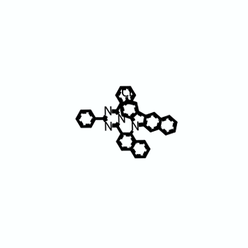 Clc1ccc2c(c1)c1cc3ccccc3cc1n2-c1c(-c2nc(-c3ccccc3)nc(-c3ccccc3)n2)ccc2ccccc12